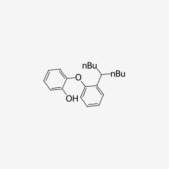 CCCCC(CCCC)c1ccccc1Oc1ccccc1O